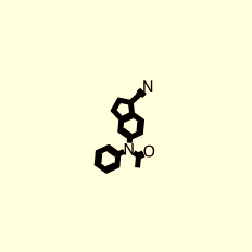 CC(=O)N(c1ccccc1)c1ccc2c(c1)CCC2C#N